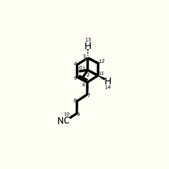 CC1(C)[C@H]2CC=C(CCCC#N)[C@H]1C2